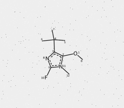 COc1c(C(C)(C)C)nc(F)n1C